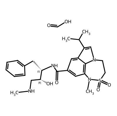 CNC[C@@H](O)[C@H](Cc1ccccc1)NC(=O)c1cc2c3c(c1)c(C(C)C)cn3CCS(=O)(=O)N2C.O=CO